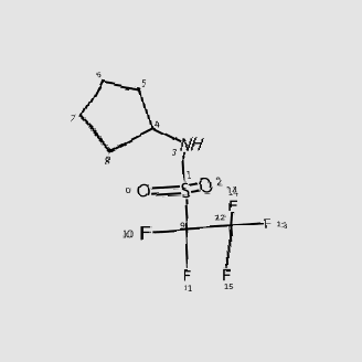 O=S(=O)(NC1CCCC1)C(F)(F)C(F)(F)F